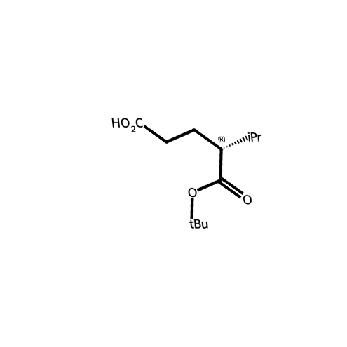 CC(C)[C@@H](CCC(=O)O)C(=O)OC(C)(C)C